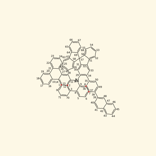 c1ccc(-c2ccccc2N(c2ccc3c4ccccc4c4ccccc4c3c2)c2cc3c(cc2-c2ccc(-c4ccc5ccccc5c4)cc2)-c2ccccc2C32c3ccccc3-c3ccccc32)cc1